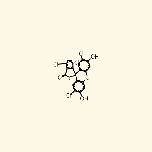 O=C1OC2(c3cc(Cl)c(O)cc3Oc3cc(O)c(Cl)cc32)c2c(Cl)ccc(Cl)c21